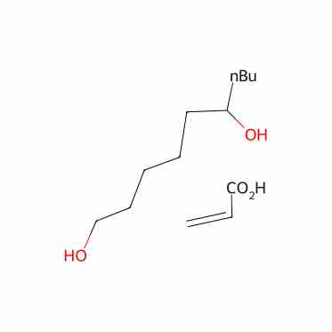 C=CC(=O)O.CCCCC(O)CCCCCO